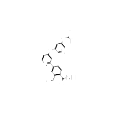 CCc1cc(-c2cc(Oc3cncc(OC(F)F)c3)ccn2)ccc1C(N)=O